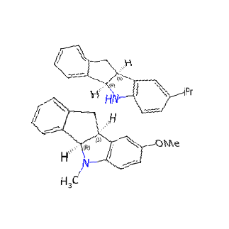 CC(C)c1ccc2c(c1)[C@@H]1Cc3ccccc3[C@@H]1N2.COc1ccc2c(c1)[C@@H]1Cc3ccccc3[C@@H]1N2C